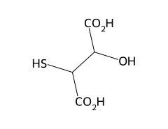 O=C(O)C(O)C(S)C(=O)O